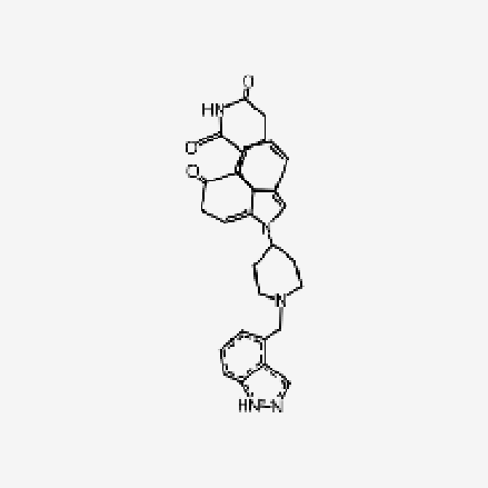 O=C1CCC(C2C(=O)CC=C3N(C4CCN(Cc5cccc6[nH]ncc56)CC4)C=C4C=CC=CC432)C(=O)N1